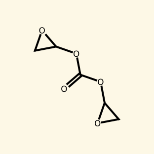 O=C(OC1CO1)OC1CO1